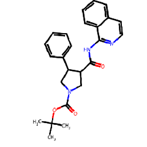 CC(C)(C)OC(=O)N1CC(C(=O)Nc2nccc3ccccc23)C(c2ccccc2)C1